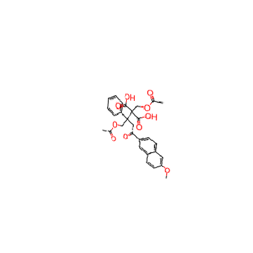 COc1ccc2cc(C(=O)CC(COC(C)=O)(c3ccccc3)C(COC(C)=O)(C(=O)O)C(=O)O)ccc2c1